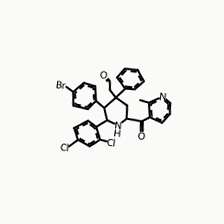 Cc1ncccc1C(=O)C1CC(CC=O)(c2ccccc2)C(c2ccc(Br)cc2)C(c2ccc(Cl)cc2Cl)N1